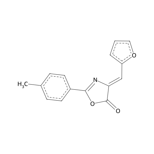 Cc1ccc(C2=N/C(=C\c3ccco3)C(=O)O2)cc1